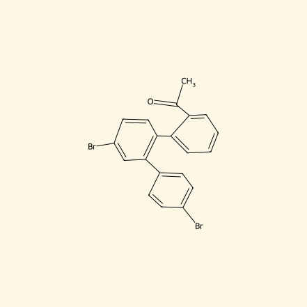 CC(=O)c1ccccc1-c1ccc(Br)cc1-c1ccc(Br)cc1